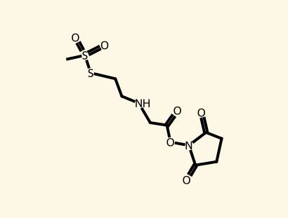 CS(=O)(=O)SCCNCC(=O)ON1C(=O)CCC1=O